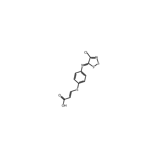 O=C(O)/C=C/Sc1ccc(/N=c2\ssnc2Cl)cc1